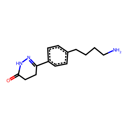 NCCCCc1ccc(C2=NNC(=O)CC2)cc1